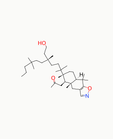 CCCC(C)(C)CC[C@](C)(CCO)CCC(C)(C)[C@]1(C)CC[C@H]2C(C)(C)c3oncc3C[C@]2(C)[C@H]1CC(C)=O